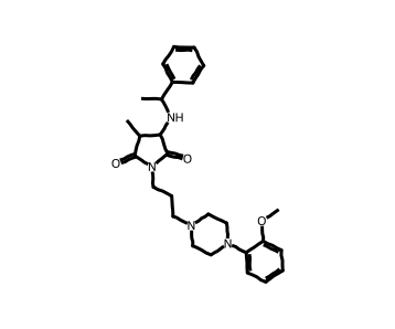 COc1ccccc1N1CCN(CCCN2C(=O)C(C)C(NC(C)c3ccccc3)C2=O)CC1